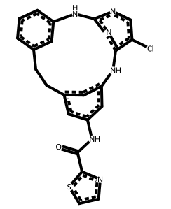 O=C(Nc1cc2cc(c1)Nc1nc(ncc1Cl)Nc1cccc(c1)CC2)c1nccs1